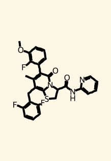 COc1cccc(-c2c(C)c(Cc3c(F)cccc3F)c3n(c2=O)C(C(=O)Nc2ccccn2)CS3)c1F